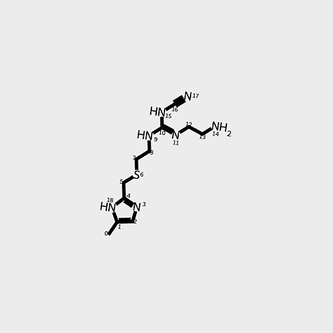 Cc1cnc(CSCCNC(=NCCN)NC#N)[nH]1